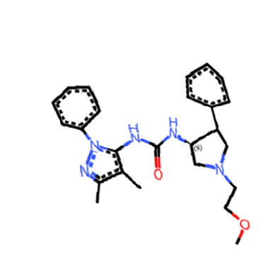 COCCN1CC(c2ccccc2)[C@H](NC(=O)Nc2c(C)c(C)nn2-c2ccccc2)C1